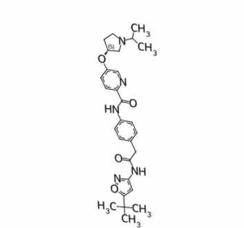 CC(C)N1CC[C@H](Oc2ccc(C(=O)Nc3ccc(CC(=O)Nc4cc(C(C)(C)C)on4)cc3)nc2)C1